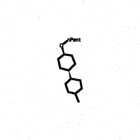 CCCCCO[C@H]1CC[C@H](C2CCC(C)CC2)CC1